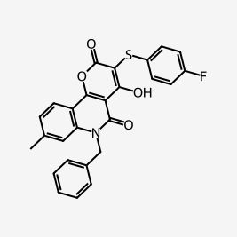 Cc1ccc2c3oc(=O)c(Sc4ccc(F)cc4)c(O)c3c(=O)n(Cc3ccccc3)c2c1